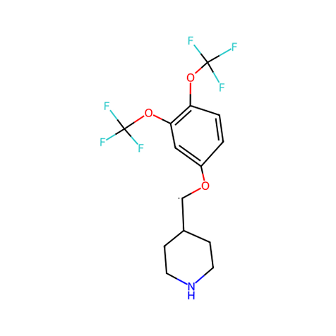 FC(F)(F)Oc1ccc(O[CH]C2CCNCC2)cc1OC(F)(F)F